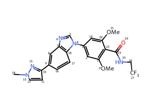 COc1cc(-n2cnc3cc(-c4ccn(C)n4)ccc32)cc(OC)c1C(=O)NCC(F)(F)F